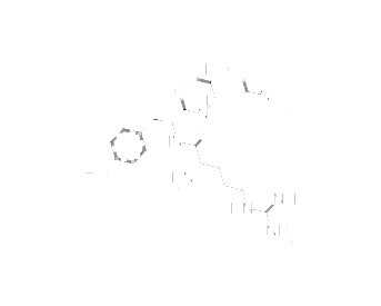 N=C(N)NCCC[C@H](N)C(=O)N[C@@H](Cc1ccc(O)cc1)C(=O)N[C@@H](CC(N)=O)C(=O)O